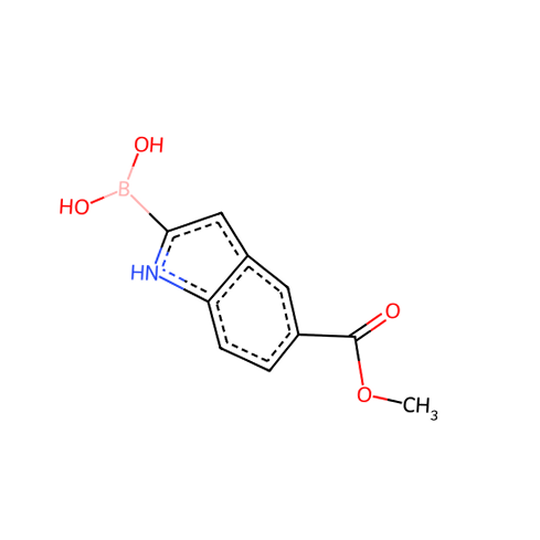 COC(=O)c1ccc2[nH]c(B(O)O)cc2c1